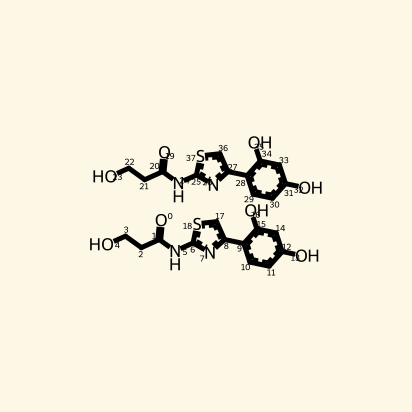 O=C(CCO)Nc1nc(-c2ccc(O)cc2O)cs1.O=C(CCO)Nc1nc(-c2ccc(O)cc2O)cs1